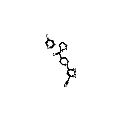 N#Cc1cc(N2CCC(C(=O)N3N=CC[C@H]3c3cncc(F)c3)CC2)ncn1